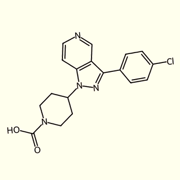 O=C(O)N1CCC(n2nc(-c3ccc(Cl)cc3)c3cnccc32)CC1